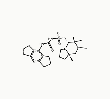 CN1C[C@]2(C)CCCN2[C@H](CS(=O)(=O)NC(=O)Nc2c3c(cc4c2CCC4)CCC3)C1(C)C